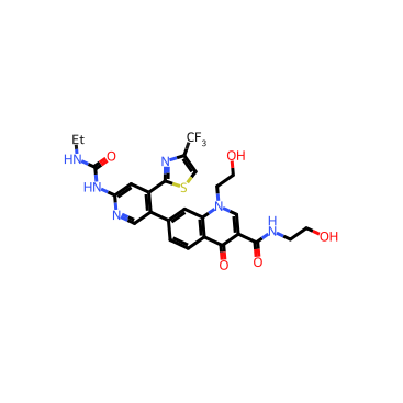 CCNC(=O)Nc1cc(-c2nc(C(F)(F)F)cs2)c(-c2ccc3c(=O)c(C(=O)NCCO)cn(CCO)c3c2)cn1